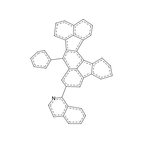 c1ccc(-c2c3cc(-c4nccc5ccccc45)cc4c5ccccc5c(c34)c3c4cccc5cccc(c23)c54)cc1